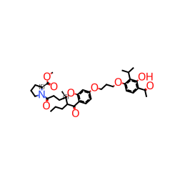 CCCC1C(=O)c2ccc(OCCCOc3ccc(C(C)=O)c(O)c3C(C)C)cc2O[C@@]1(C)CCC(=O)N1CCC[C@H]1C(=O)OC